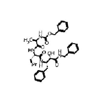 CC(C)C[C@H](NC(=O)C(C)NC(=O)OCc1ccccc1)C(=O)N[C@@H](Cc1ccccc1)[C@H](O)C(=O)NCc1ccccc1